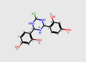 Oc1ccc(C2NC(Cl)NC(c3ccc(O)cc3O)N2)c(O)c1